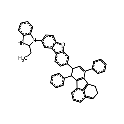 CCC1Nc2ccccc2N1c1ccc2oc3cc(C4C=C(c5ccccc5)C5=C(c6cccc7c6=C5CCC=7)C4c4ccccc4)ccc3c2c1